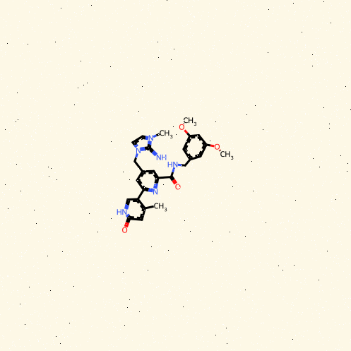 COc1cc(CNC(=O)c2cc(Cn3ccn(C)c3=N)cc(-c3c[nH]c(=O)cc3C)n2)cc(OC)c1